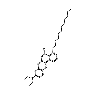 CCCCCCCCCCCC[n+]1cccc2c3nc4ccc(N(CC)CC)cc4oc-3cc(=O)c21.[I-]